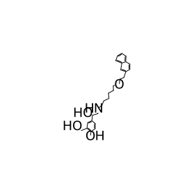 OCc1cc(C(O)CNCCCCCCOCCc2ccc3ccccc3c2)ccc1O